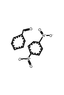 O=Cc1ccccc1.O=[N+]([O-])c1ccc([N+](=O)[O-])cc1